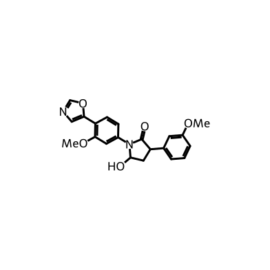 COc1cccc(C2CC(O)N(c3ccc(-c4cnco4)c(OC)c3)C2=O)c1